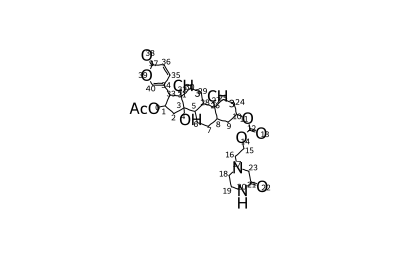 CC(=O)OC1CC2(O)C3CCC4CC(OC(=O)OCCN5CCNC(=O)C5)CCC4(C)C3CCC2(C)C1c1ccc(=O)oc1